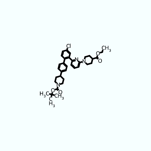 CCOC(=O)C1CCN(c2cccc(-c3cc(Cl)ccc3-c3ccc(C4CCN(C(=O)OC(C)(C)C)CC4)cc3)n2)CC1